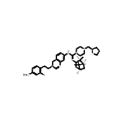 COc1ccc(CCN2C=Nc3cc(NC(=NC4C[C@@H]5C[C@H]([C@@H]4C)C5(C)C)N4CCN(CC5CCCO5)CC4)ccc3C2)c(F)c1